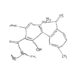 C=C(C)c1ccc(C)cc1-c1c(O)cc(CCCCC)c(C(=O)N(C)C#N)c1O